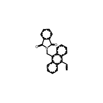 C=Cc1c2ccccc2c(CN2C(=O)c3ccccc3C2=O)c2ccccc12